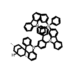 C[C@@H]1CC2C[C@@H](C1)C[C@@H](C)C21c2ccccc2N(c2ccc(-n3c4ccccc4c4ccc([Si](c5ccccc5)(c5ccccc5)c5ccccc5)cc43)c(-c3cccc(-n4c5ccccc5c5ccccc54)c3)c2)c2ccccc21